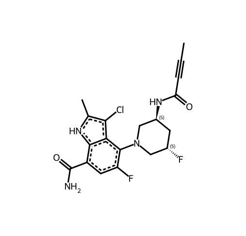 CC#CC(=O)N[C@H]1C[C@H](F)CN(c2c(F)cc(C(N)=O)c3[nH]c(C)c(Cl)c23)C1